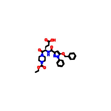 CCOC(=O)N1CCN(C(=O)[C@H](CCC(=O)O)NC(=O)c2cc(OCc3ccccc3)n(-c3ccccc3)n2)CC1